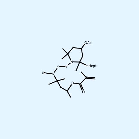 C=C(C)C(=O)OC(C)CC(C)(C)N(SSN1C(C)(C)CC(OC(C)=O)CC1(C)CCCCCCC)C(C)C